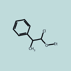 CCOC(Cl)C(C)c1ccccc1